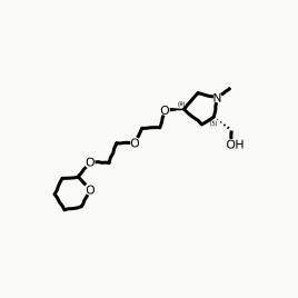 CN1C[C@H](OCCOCCOC2CCCCO2)C[C@H]1CO